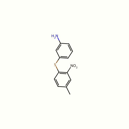 Cc1ccc(Sc2cccc(N)c2)c([N+](=O)[O-])c1